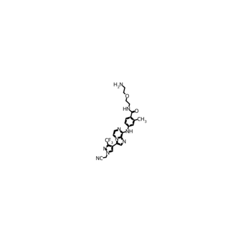 Cc1cc(Nc2nccn3c(-c4cn(CC#N)nc4C(F)(F)F)cnc23)ccc1C(=O)NCCOCCN